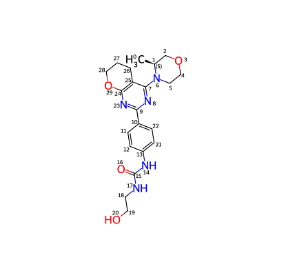 C[C@H]1COCCN1c1nc(-c2ccc(NC(=O)NCCO)cc2)nc2c1CCCO2